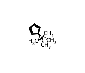 [CH3][Mn]([CH3])([CH3])([CH3])[CH]1C=CC=C1